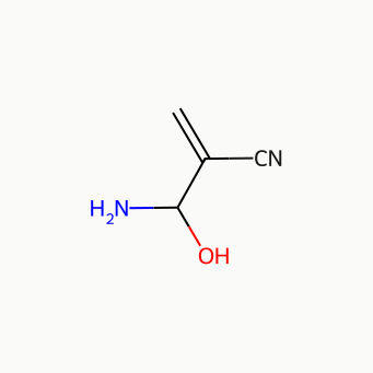 C=C(C#N)C(N)O